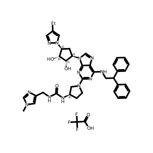 CCc1cnn([C@H]2C[C@@H](n3cnc4c(NCC(c5ccccc5)c5ccccc5)nc(N5CC[C@@H](NC(=O)NCc6cn(C)cn6)C5)nc43)[C@H](O)[C@@H]2O)c1.O=C(O)C(F)(F)F